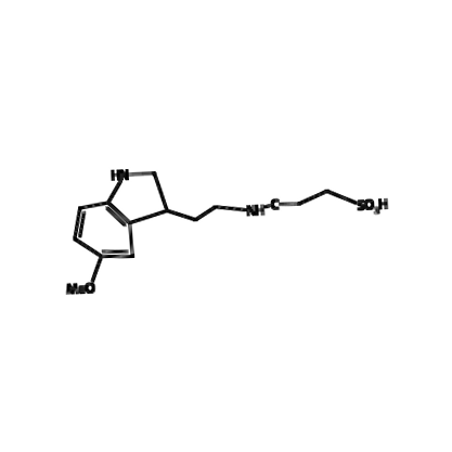 COc1ccc2c(c1)C(CCNCCCS(=O)(=O)O)CN2